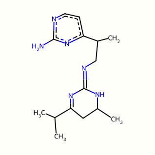 CC1CC(C(C)C)=N/C(=N/CC(C)c2ccnc(N)n2)N1